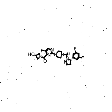 O=C(c1nc(N2CCN(C(=O)N3N=CC[C@H]3c3cc(F)cc(F)c3)CC2)ncc1F)N1CC(O)C1